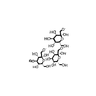 [Cr+3].[O-]C[C@@]1(O)O[C@H](CO)[C@H](O)[C@@H](O)[C@@H]1O.[O-]C[C@@]1(O)O[C@H](CO)[C@H](O)[C@@H](O)[C@@H]1O.[O-]C[C@@]1(O)O[C@H](CO)[C@H](O)[C@@H](O)[C@@H]1O